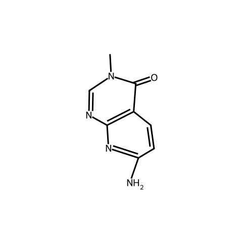 Cn1cnc2nc(N)ccc2c1=O